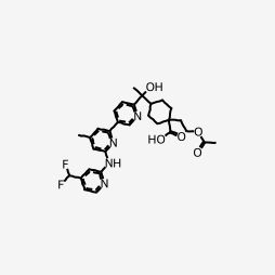 CC(=O)OCCC1(C(=O)O)CCC(C(C)(O)c2ccc(-c3cc(C)cc(Nc4cc(C(F)F)ccn4)n3)cn2)CC1